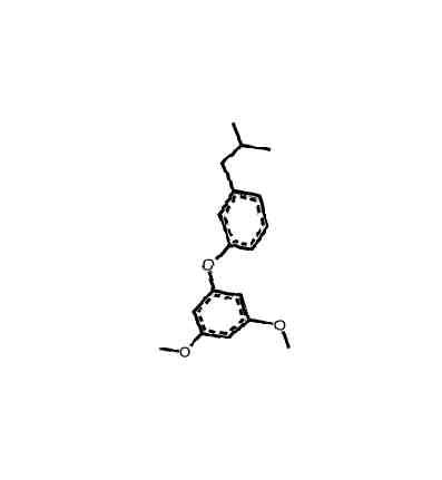 COc1cc(OC)cc(Oc2cccc(CC(C)C)c2)c1